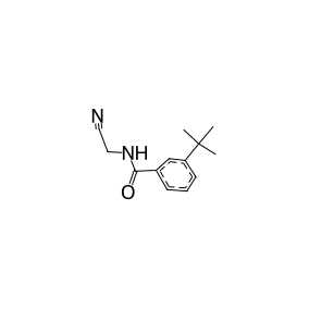 CC(C)(C)c1cccc(C(=O)NCC#N)c1